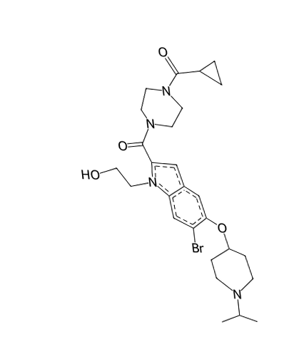 CC(C)N1CCC(Oc2cc3cc(C(=O)N4CCN(C(=O)C5CC5)CC4)n(CCO)c3cc2Br)CC1